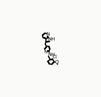 COc1cccc(CNc2ccc(Cc3c[nH]c4ncccc34)cn2)c1Cl